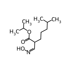 CC(C)CCCC(/C=N\O)C(=O)OC(C)C